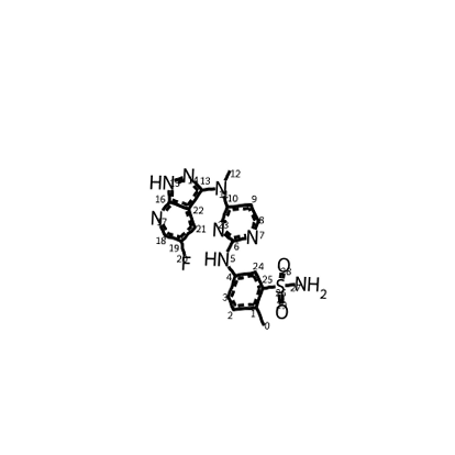 Cc1ccc(Nc2nccc(N(C)c3n[nH]c4ncc(F)cc34)n2)cc1S(N)(=O)=O